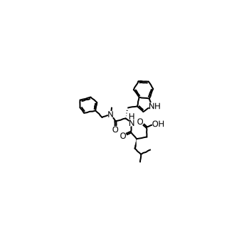 CC(C)C[C@H](CC(=O)O)C(=O)N[C@@H](Cc1c[nH]c2ccccc12)C(=O)N(C)Cc1ccccc1